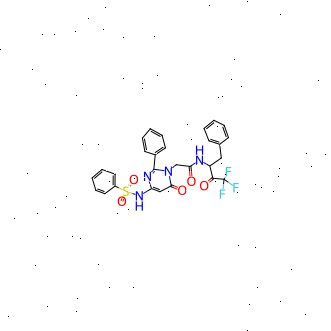 O=C(Cn1c(-c2ccccc2)nc(NS(=O)(=O)c2ccccc2)cc1=O)NC(Cc1ccccc1)C(=O)C(F)(F)F